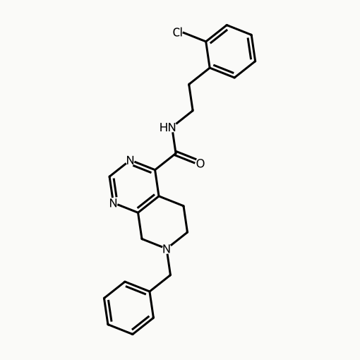 O=C(NCCc1ccccc1Cl)c1ncnc2c1CCN(Cc1ccccc1)C2